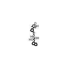 CC1CC(=O)NN=C1c1cccc(OCCNC(O)C(O)Cc2cccc3ccccc23)c1